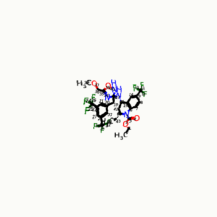 CCOC(=O)N1c2ccc(C(F)(F)F)cc2[C@@H](NC2(Cc3cc(C(F)(F)F)cc(C(F)(F)F)c3)N=C(COC)ON2)C[C@H]1CC